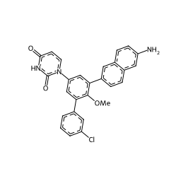 COc1c(-c2cccc(Cl)c2)cc(-n2ccc(=O)[nH]c2=O)cc1-c1ccc2cc(N)ccc2c1